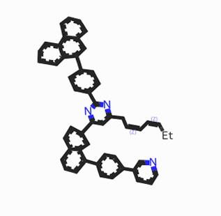 CC/C=C\C=C/Cc1cc(-c2ccc3cccc(-c4ccc(-c5cccnc5)cc4)c3c2)nc(-c2ccc(-c3cc4ccccc4c4ccccc34)cc2)n1